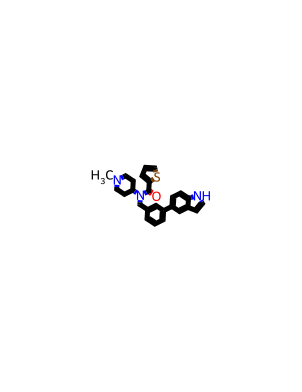 CN1CCC(N(Cc2cccc(-c3ccc4[nH]ccc4c3)c2)C(=O)c2cccs2)CC1